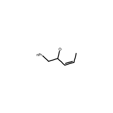 C/C=C\C([O])CCCC